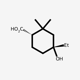 CC[C@@]1(O)CC[C@H](C(=O)O)C(C)(C)C1